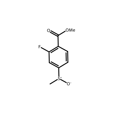 COC(=O)c1ccc([S+](C)[O-])cc1F